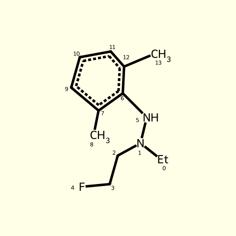 CCN(CCF)Nc1c(C)cccc1C